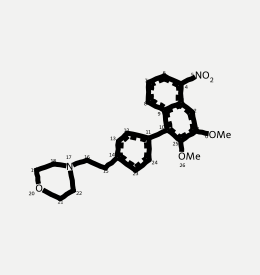 COc1cc2c([N+](=O)[O-])cccc2c(-c2ccc(CCN3CCOCC3)cc2)c1OC